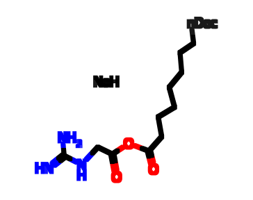 CCCCCCCCCCCCCCCCCC(=O)OC(=O)CNC(=N)N.[NaH]